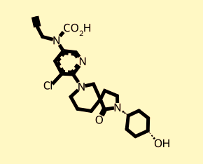 C#CCN(C(=O)O)c1cnc(N2CCCC3(CCN([C@H]4CC[C@@H](O)CC4)C3=O)C2)c(Cl)c1